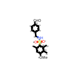 COc1cc(C)c(S(=O)(=O)NCc2ccc(C=O)cc2)c(C)c1C